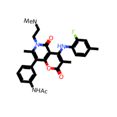 CNCCn1c(C)c(-c2cccc(NC(C)=O)c2)c2oc(=O)c(C)c(Nc3ccc(C)cc3F)c2c1=O